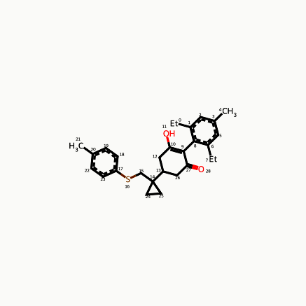 CCc1cc(C)cc(CC)c1C1=C(O)CC(C2(CSc3ccc(C)cc3)CC2)CC1=O